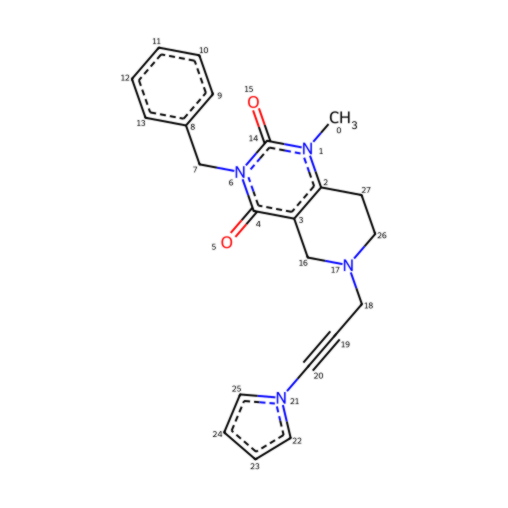 Cn1c2c(c(=O)n(Cc3ccccc3)c1=O)CN(CC#Cn1cccc1)CC2